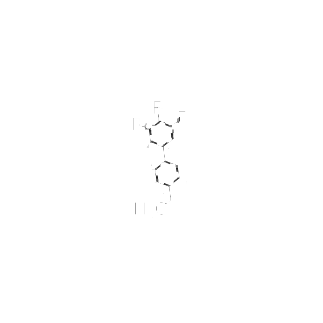 CCc1ccc(-c2cc(F)c(F)c(F)c2)cc1